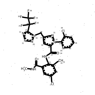 CNC(=O)c1cc(Cl)cc(C)c1NC(=O)c1cc(Cn2nnnc2C(F)(F)C(F)(F)F)nn1-c1ncccc1Cl